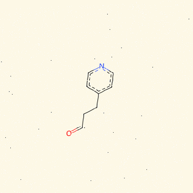 O=[C]CCc1ccncc1